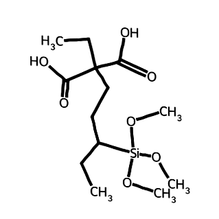 CCC(CCC(CC)(C(=O)O)C(=O)O)[Si](OC)(OC)OC